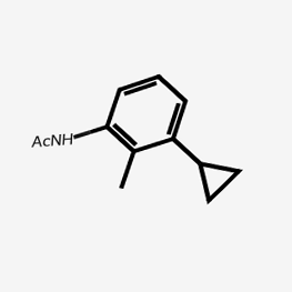 CC(=O)Nc1cccc(C2CC2)c1C